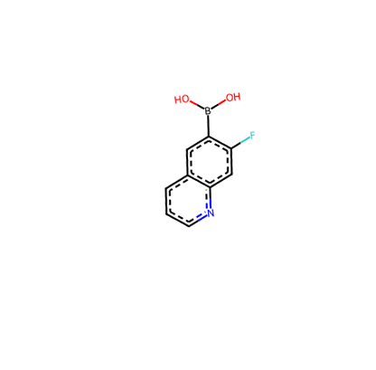 OB(O)c1cc2cccnc2cc1F